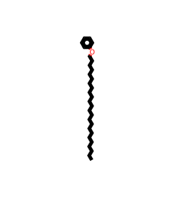 CCCCCCCCCCCCCCCCCCCCCCCCOc1[c]cccc1